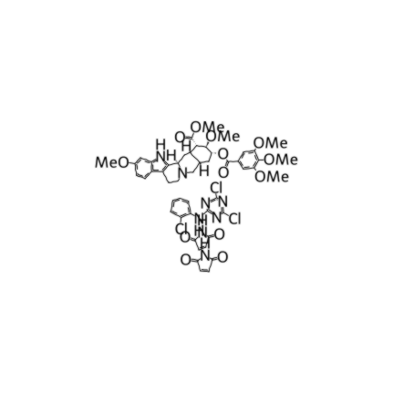 COC(=O)[C@H]1[C@H]2C[C@@H]3c4[nH]c5cc(OC)ccc5c4CCN3C[C@H]2C[C@@H](OC(=O)c2cc(OC)c(OC)c(OC)c2)[C@@H]1OC.Clc1nc(Cl)nc(Nc2ccccc2Cl)n1.O=C1C=CC(=O)N1.O=C1C=CC(=O)N1